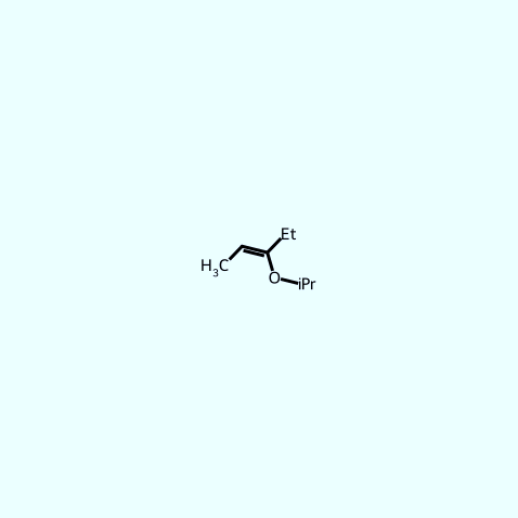 C/C=C(/CC)OC(C)C